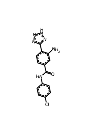 Nc1cc(C(=O)Nc2ccc(Cl)cc2)ccc1-c1nn[nH]n1